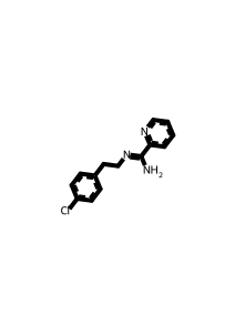 N/C(=N\CCc1ccc(Cl)cc1)c1ccccn1